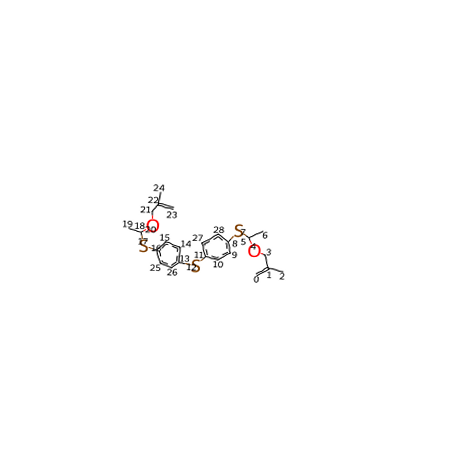 C=C(C)COC(C)Sc1ccc(Sc2ccc(SC(C)OCC(=C)C)cc2)cc1